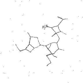 CCCC1(C)C(C)C(CC2(C)C(C)C(C(C)C)C2N)C2C(C3CC(C)C4C(CC)CC34)C21